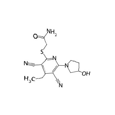 CCc1c(C#N)c(SCC(N)=O)nc(N2CCC(O)C2)c1C#N